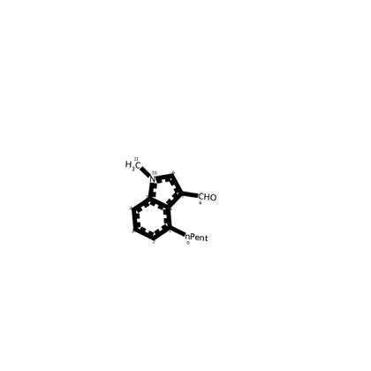 CCCCCc1cccc2c1c(C=O)cn2C